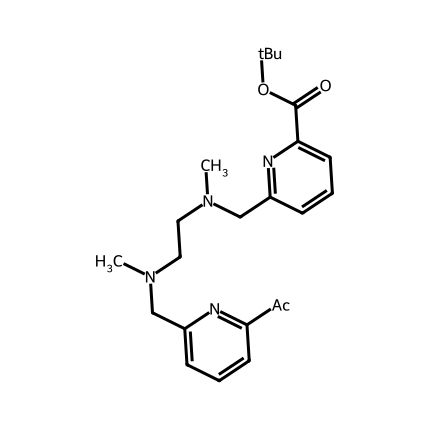 CC(=O)c1cccc(CN(C)CCN(C)Cc2cccc(C(=O)OC(C)(C)C)n2)n1